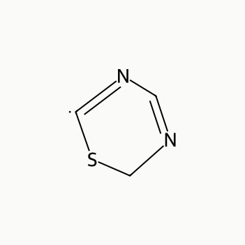 [C]1=NC=NCS1